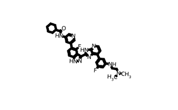 CN(C)CCNc1cc(F)cc(-c2ccnc3[nH]c(-c4n[nH]c5ccc(-c6cncc(NC(=O)C7CCCCC7)c6)c(F)c45)nc23)c1